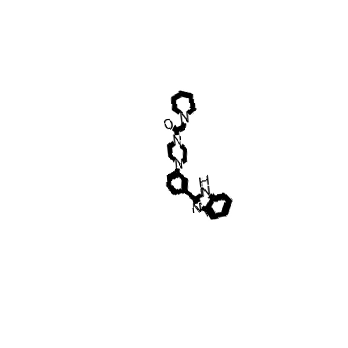 O=C(CN1CCCCC1)N1CCN(c2cccc(-c3nc4ccccc4[nH]3)c2)CC1